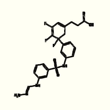 NN=CNc1cccc(S(=O)(=O)Nc2cccc(C3(F)CC(CCC(=O)O)=CC(F)=C3F)c2)c1